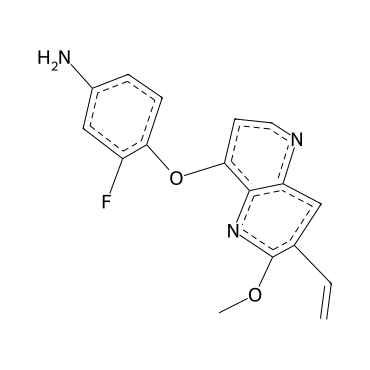 C=Cc1cc2nccc(Oc3ccc(N)cc3F)c2nc1OC